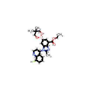 CCOC(=O)c1cc(B2OCC(C)(C)CO2)cc2c1nc(C)n2-c1ccnc2c(F)cccc12